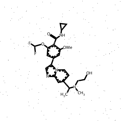 COc1cc(-c2cnc3cc(C(C)N(C)CCO)ccn23)cc(OC(F)F)c1C(=O)NC1CC1